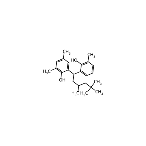 Cc1cc(C)c(O)c(C(CC(C)CC(C)(C)C)c2cccc(C)c2O)c1